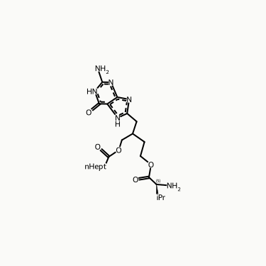 CCCCCCCC(=O)OCC(CCOC(=O)[C@@H](N)C(C)C)Cc1nc2nc(N)[nH]c(=O)c2[nH]1